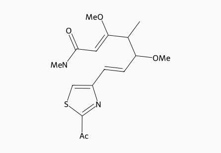 CNC(=O)C=C(OC)C(C)C(C=Cc1csc(C(C)=O)n1)OC